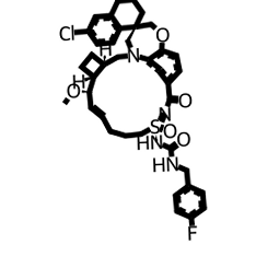 CO[C@H]1/C=C/CCC[S@@](=O)(NC(=O)NCc2ccc(F)cc2)=NC(=O)c2ccc3c(c2)N(C[C@@H]2CC[C@H]21)C[C@@]1(CCCc2cc(Cl)ccc21)CO3